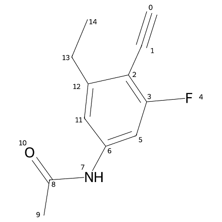 C#Cc1c(F)cc(NC(C)=O)cc1CC